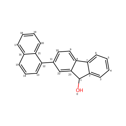 OC1c2ccccc2-c2ccc(-c3cccc4ccccc34)cc21